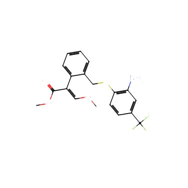 CO/C=C(/C(=O)OC)c1ccccc1CSc1ccc(C(F)(F)F)cc1N